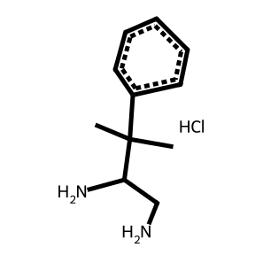 CC(C)(c1ccccc1)C(N)CN.Cl